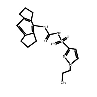 N=S(=O)(NC(=O)Nc1c2c(cc3c1CCC3)CCC2)c1ccn(CCO)n1